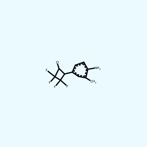 Cc1cc(C2C(Cl)C(F)(F)C2(F)F)ccc1N